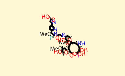 CO[C@H](c1ccc(C2=NO[C@H](CO)C2)cc1)[C@@H](CF)NC(=O)CCN(C)[C@H]1C[C@@H](C)O[C@@H](O[C@@H]2[C@@H](C)C([C@H]3C[C@@](C)(OC)[C@@H](O)[C@H](C)O3)[C@@H](C)C(=O)O[C@H](I)[C@@](C)(O)[C@H](O)[C@@H](C)C(=N)[C@H](C)C[C@@]2(C)OC)[C@@H]1O